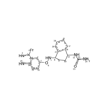 CCC(=N)n1cc(ONC2CCC(NC(N)=O)c3ccccc32)ccc1=N